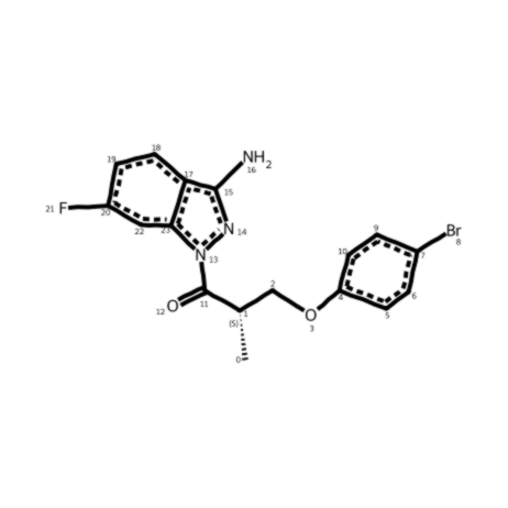 C[C@@H](COc1ccc(Br)cc1)C(=O)n1nc(N)c2ccc(F)cc21